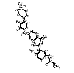 C=CC(=O)Nc1ccc(F)c(-c2nc(=O)c3cnc(Nc4ccc(N5CCN(C)CC5)c(F)c4F)nc3[nH]2)c1